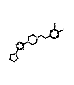 Fc1ccc(CCN2CCN(c3nc(N4CCCC4)ns3)CC2)cc1F